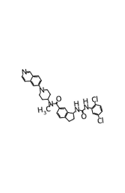 CN(C(=O)c1ccc2c(c1)C(NC(=O)Nc1cc(Cl)ccc1Cl)CC2)C1CCN(c2ccc3cnccc3c2)CC1